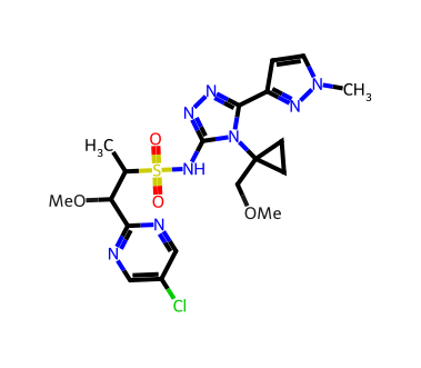 COCC1(n2c(NS(=O)(=O)C(C)C(OC)c3ncc(Cl)cn3)nnc2-c2ccn(C)n2)CC1